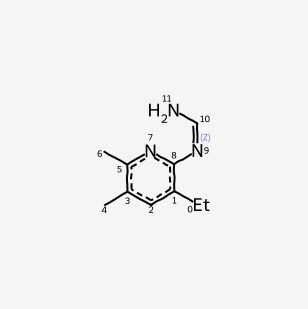 CCc1cc(C)c(C)nc1/N=C\N